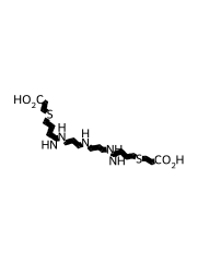 N=C(CCCSCCC(=O)O)NCCCNCCCNC(=N)CCCSCCC(=O)O